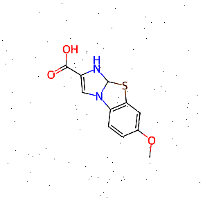 COc1ccc2c(c1)SC1NC(C(=O)O)=CN21